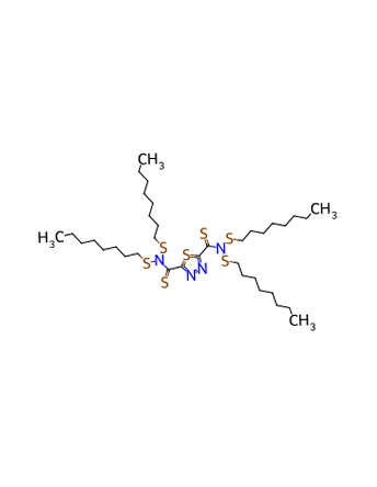 CCCCCCCCSN(SCCCCCCCC)C(=S)c1nnc(C(=S)N(SCCCCCCCC)SCCCCCCCC)s1